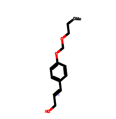 COCCOCOc1ccc(/C=C/CO)cc1